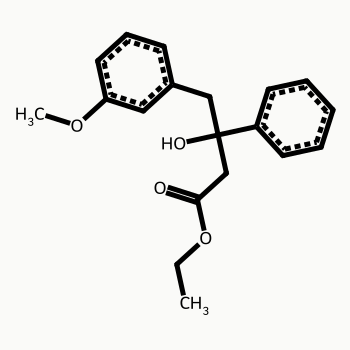 CCOC(=O)CC(O)(Cc1cccc(OC)c1)c1ccccc1